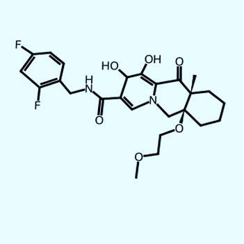 COCCO[C@]12CCCC[C@@]1(C)C(=O)C1=C(O)C(O)C(C(=O)NCc3ccc(F)cc3F)=CN1C2